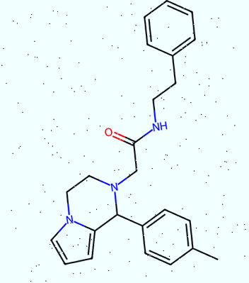 Cc1ccc(C2c3cccn3CCN2CC(=O)NCCc2ccccc2)cc1